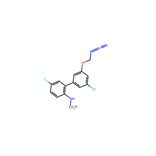 [N-]=[N+]=NCOc1cc(Cl)cc(-c2cc(F)ccc2NC(=O)O)c1